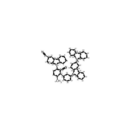 Cc1ccc(-n2c3ccccc3c3cc(C#N)ccc32)c(C#N)c1-c1cccc(-n2c3ccccc3c3cc(-n4c5ccccc5c5ccccc54)ccc32)c1